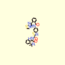 CN(C(=O)[C@@H](NC(=O)c1nc2ccc(NC(=O)c3ccccc3-c3cn4ccsc4n3)cc2s1)c1ccccc1)C(C)(C)C